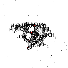 CC[C@H](CC(C)C)C(=O)N[C@H]1C(=O)C[C@@H](CC(=O)NC(=O)Nc2cc(OCCNC)c(OCCNC)c(OCCNC)c2)C(=O)N[C@H]2C(=O)C[C@H]3C(=O)N[C@H](C(=O)N[C@H](C(=O)CC4C5CC6CC(C5)CC4C6)c4cc(O)cc(O)c4-c4cc3ccc4O)[C@H](O)c3ccc(c(Cl)c3)Oc3cc2cc(c3O[C@@H]2O[C@H](CO)[C@@H](O)[C@H](O)[C@H]2O[C@H]2C[C@](C)(N)[C@H](O)[C@H](C)O2)Oc2ccc(cc2Cl)[C@H]1O